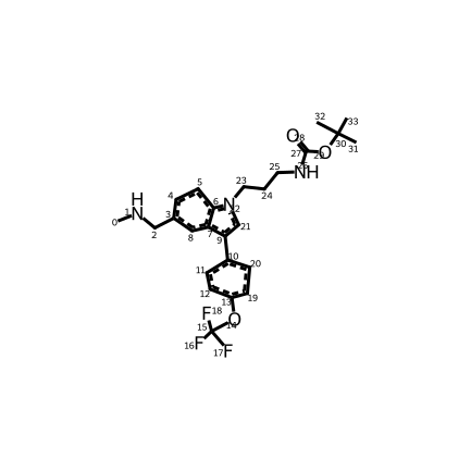 CNCc1ccc2c(c1)c(-c1ccc(OC(F)(F)F)cc1)cn2CCCNC(=O)OC(C)(C)C